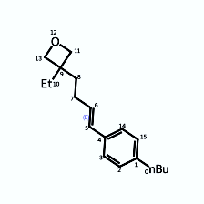 CCCCc1ccc(/C=C/CCC2(CC)COC2)cc1